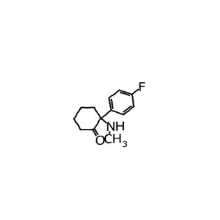 CNC1(c2ccc(F)cc2)CCCCC1=O